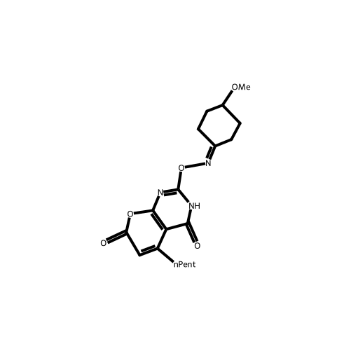 CCCCCc1cc(=O)oc2nc(ON=C3CCC(OC)CC3)[nH]c(=O)c12